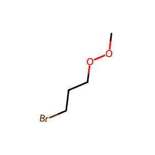 COOCCCBr